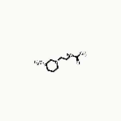 CC(=O)NCCN1CCC[C@H](C)C1